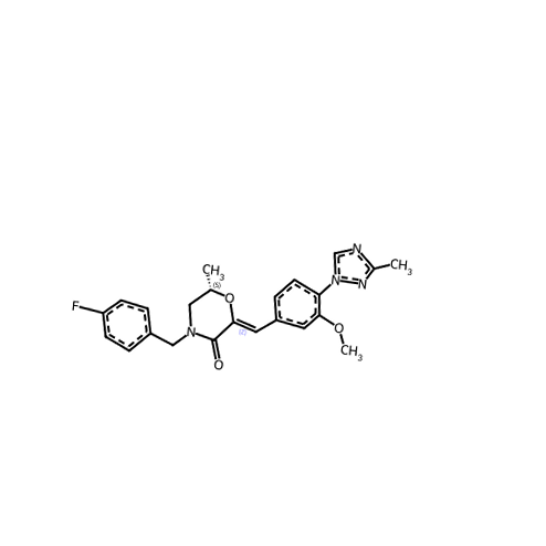 COc1cc(/C=C2\O[C@@H](C)CN(Cc3ccc(F)cc3)C2=O)ccc1-n1cnc(C)n1